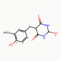 COc1cc(CC2C(=O)NC(O)NC2=O)ccc1O